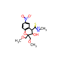 CNC(=S)C1c2cc([N+](=O)[O-])ccc2OC(COC)(COC)C1O